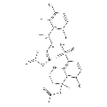 CC(=O)OC1(C)CCOc2c(S(=O)(=O)N[C@H](c3n[nH]c(=O)o3)[C@H](C)c3c(F)ccc(Cl)c3C)ccc(Cl)c21